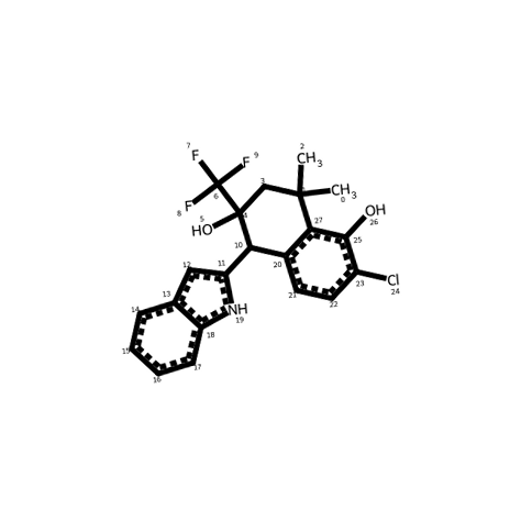 CC1(C)CC(O)(C(F)(F)F)C(c2cc3ccccc3[nH]2)c2ccc(Cl)c(O)c21